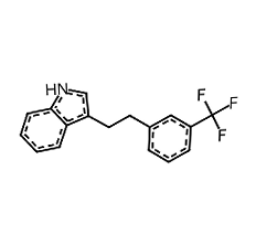 FC(F)(F)c1cccc(CCc2c[nH]c3ccccc23)c1